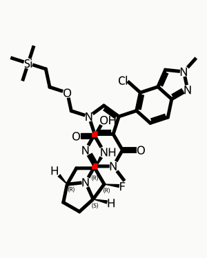 Cn1cc2c(Cl)c(-c3cn(COCC[Si](C)(C)C)c4nc(N5[C@@H]6CC[C@H]5[C@H](F)[C@H](NC(=O)O)C6)n(C)c(=O)c34)ccc2n1